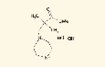 COC(=O)C(C)(C)CN1CCNCC1.Cl.Cl